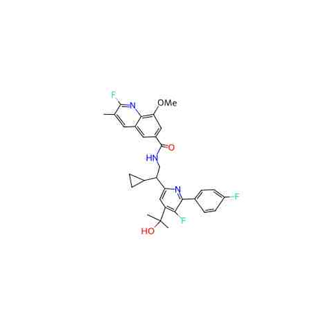 COc1cc(C(=O)NCC(c2cc(C(C)(C)O)c(F)c(-c3ccc(F)cc3)n2)C2CC2)cc2cc(C)c(F)nc12